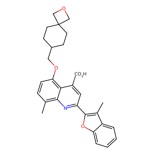 Cc1c(-c2cc(C(=O)O)c3c(OCC4CCC5(CC4)COC5)ccc(C)c3n2)oc2ccccc12